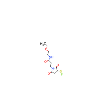 CCOCCNC(=O)CCN1C(=O)CC(SF)C1=O